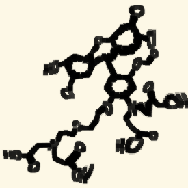 O=COc1cc(N(CC(=O)O)CC(=O)O)c(OCCOCCN(CC(=O)O)CC(=O)O)cc1-c1c2cc(Cl)c(=O)cc-2oc2cc(O)c(Cl)cc12